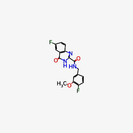 COc1cc(CNC(=O)c2nc3ccc(F)cc3c(=O)[nH]2)ccc1F